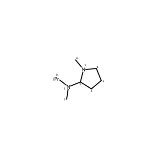 CC(C)N(C)C1CCCN1C